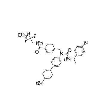 CC(NC(=O)N(Cc1ccc(C(=O)NCC(F)(F)C(=O)O)cc1)c1ccc(C2=CCC(C(C)(C)C)CC2)cc1)c1ccc(Br)cc1